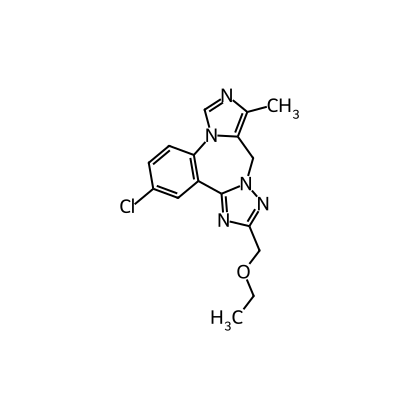 CCOCc1nc2n(n1)Cc1c(C)ncn1-c1ccc(Cl)cc1-2